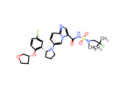 CN(CC(C)(C)F)S(=O)(=O)NC(=O)c1cnc2ccc(N3CCC[C@@H]3c3cc(F)ccc3O[C@@H]3CCOC3)cn12